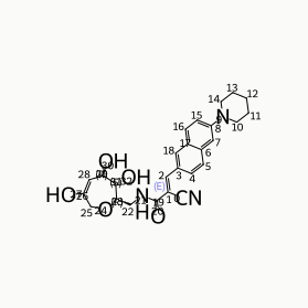 N#C/C(=C\c1ccc2cc(N3CCCCC3)ccc2c1)C(=O)NC[C@H]1OCC(O)=C[C@@H](O)[C@@H]1O